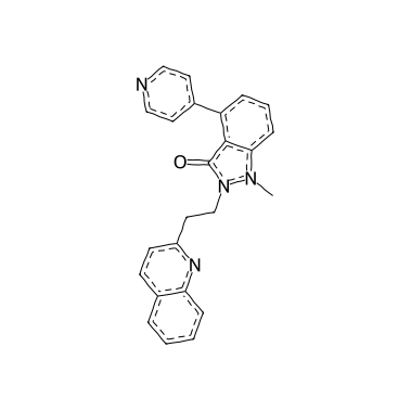 Cn1c2cccc(-c3ccncc3)c2c(=O)n1CCc1ccc2ccccc2n1